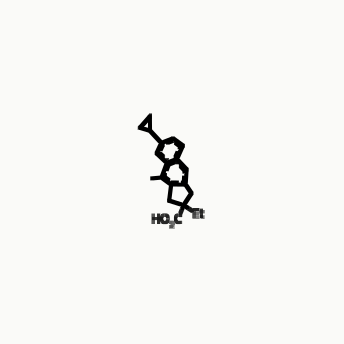 CCC1(C(=O)O)Cc2cc3ccc(C4CC4)cc3c(C)c2C1